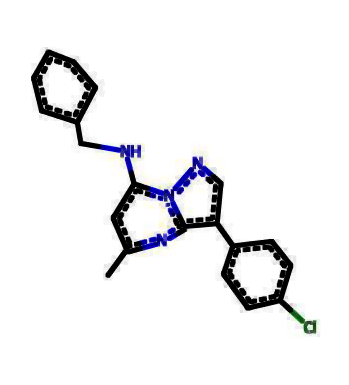 Cc1cc(NCc2ccccc2)n2ncc(-c3ccc(Cl)cc3)c2n1